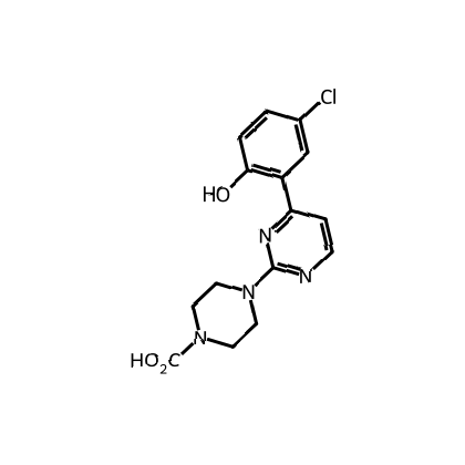 O=C(O)N1CCN(c2nccc(-c3cc(Cl)ccc3O)n2)CC1